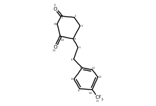 O=C1CCC(CCc2ccc(C(F)(F)F)cc2)C(=O)C1